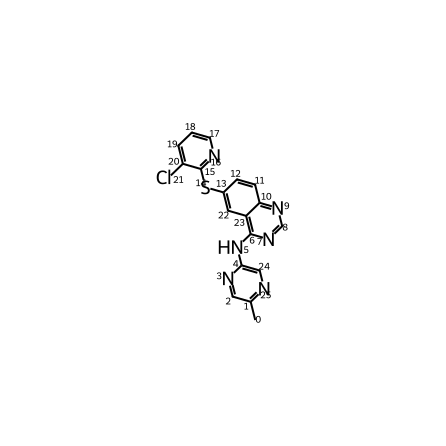 Cc1cnc(Nc2ncnc3ccc(Sc4ncccc4Cl)cc23)cn1